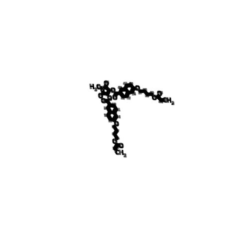 C=CC(=O)OCCCCOc1ccc2cc(C(=O)O[C@H]3C(=O)N(C)C(=O)[C@@H]3OC(=O)c3ccc4cc(OCCCCOC(=O)C=C)ccc4c3)ccc2c1